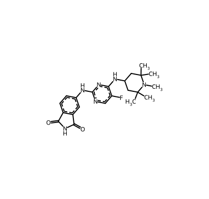 CN1C(C)(C)CC(Nc2nc(Nc3ccc4c(c3)C(=O)NC4=O)ncc2F)CC1(C)C